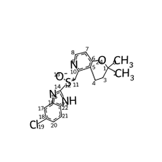 CC1(C)CCc2c(ccnc2C[S+]([O-])c2nc3cc(Cl)ccc3[nH]2)O1